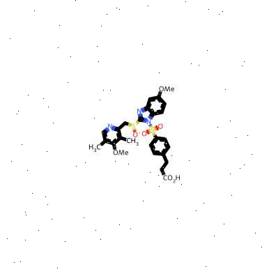 COc1ccc2c(c1)nc([S+]([O-])Cc1ncc(C)c(OC)c1C)n2S(=O)(=O)c1ccc(CCC(=O)O)cc1